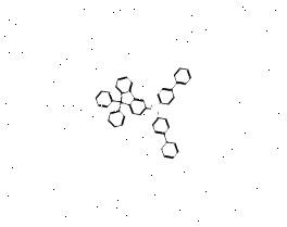 C1=CCC(c2ccc(N(c3ccc(-c4ccccc4)cc3)c3ccc4c(c3)-c3ccccc3C4(c3ccccc3)c3ccccc3)cc2)C=C1